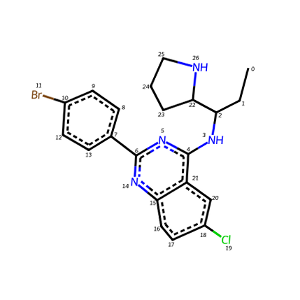 CCC(Nc1nc(-c2ccc(Br)cc2)nc2ccc(Cl)cc12)C1CCCN1